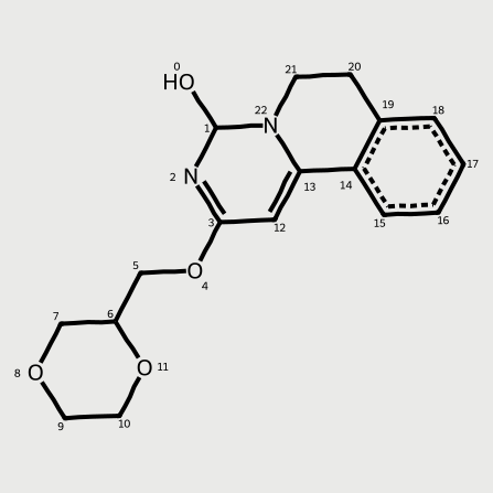 OC1N=C(OCC2COCCO2)C=C2c3ccccc3CCN21